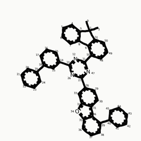 CC1(C)c2ccccc2-c2c(-c3nc(-c4cccc(-c5ccccc5)c4)nc(-c4ccc5c(c4)oc4cccc(-c6ccccc6)c45)n3)cccc21